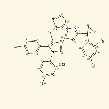 Clc1ccc(-c2c(Cn3cncn3)c(-c3nnc(C4(c5ccc(Cl)cc5Cl)CC4)o3)nn2-c2ccc(Cl)cc2Cl)cc1